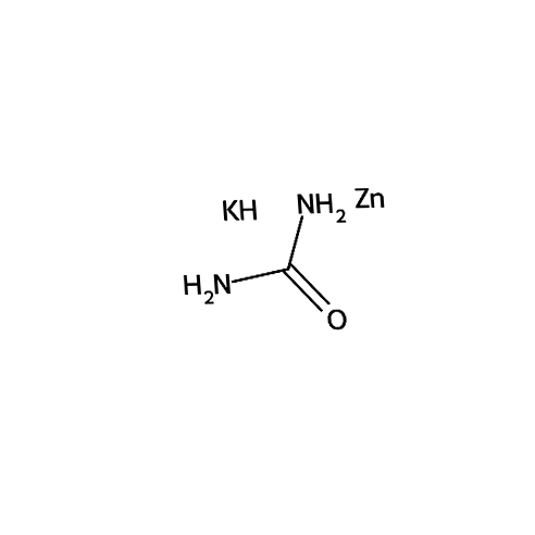 NC(N)=O.[KH].[Zn]